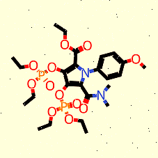 CCOC(=O)c1c(OP(=O)(OCC)OCC)c(OP(=O)(OCC)OCC)c(C(=O)N(C)C)n1-c1ccc(OC)cc1